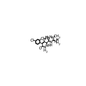 CCO/C(C(=N)C(=O)N/C(=N/N)N(C)N)=C(/C(N)=O)c1ccc(Cl)cc1Cl